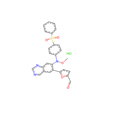 CON(c1ccc(S(=O)(=O)c2ccccc2)cc1)c1cc2ncncc2cc1-c1ccc(C=O)o1.Cl